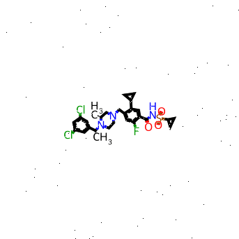 C[C@@H]1CN(Cc2cc(F)c(C(=O)NS(=O)(=O)C3CC3)cc2C2CC2)CCN1[C@@H](C)c1cc(Cl)cc(Cl)c1